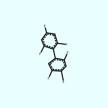 Fc1[c]c(F)c(-c2cc(F)c(F)cc2F)c(F)c1